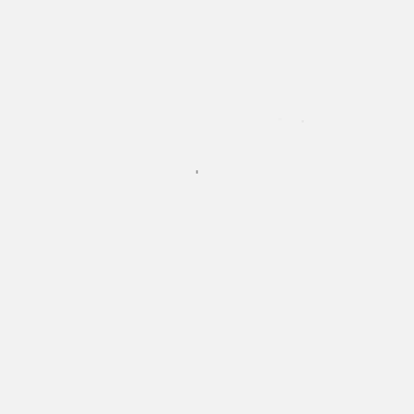 COc1ccc(Oc2c(Cl)cc(NC(=O)CCn3cc([S+](C)[O-])cn3)cc2Cl)cc1C(C)C